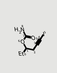 CCC(CC#CI)OC(N)=O